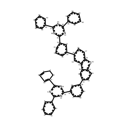 C1=CCCC(c2nc(-c3ccccc3)nc(-c3cccc(-c4ccc5sc6ccc(-c7cccc(-c8nc(-c9ccccc9)nc(-c9ccccc9)n8)c7)cc6c5c4)c3)n2)=C1